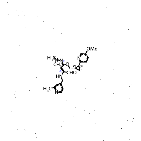 COc1ccc([C@H]2C[C@@H]2COC(/C=C(\C=O)NCc2ccnc(C)c2)=N/N(C)C)nc1